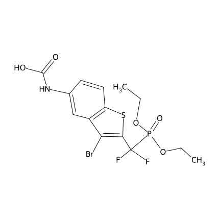 CCOP(=O)(OCC)C(F)(F)c1sc2ccc(NC(=O)O)cc2c1Br